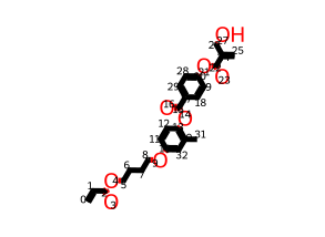 C=CC(=O)OCCCCOc1ccc(OC(=O)c2ccc(OC(=O)C(=C)CO)cc2)c(C)c1